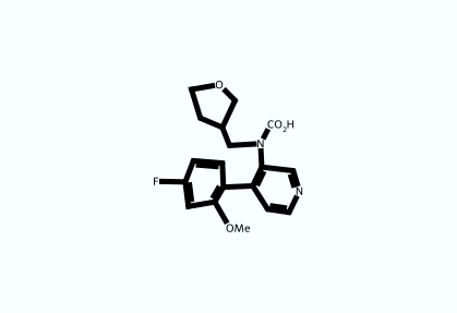 COc1cc(F)ccc1-c1ccncc1N(CC1CCOC1)C(=O)O